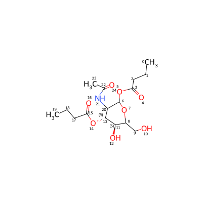 CCCC(=O)OC1OC(CO)[C@@H](O)[C@H](OC(=O)CCC)C1NC(C)=O